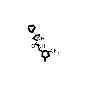 Cc1cc(CNC(=O)[C@@H]2C[C@H](c3ccccc3)CN2)cc(C(F)(F)F)c1